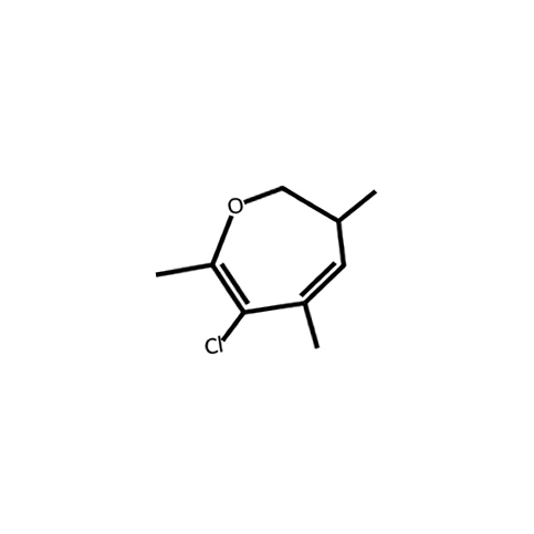 CC1=CC(C)COC(C)=C1Cl